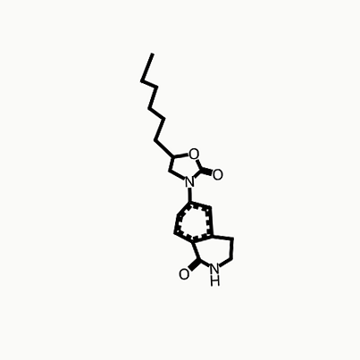 CCCCCCC1CN(c2ccc3c(c2)CCNC3=O)C(=O)O1